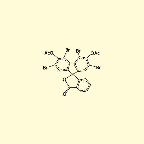 CC(=O)Oc1c(Br)cc(C2(c3cc(Br)c(OC(C)=O)c(Br)c3)OC(=O)c3ccccc32)cc1Br